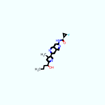 CCCC(O)c1cc(C)c(-c2cc3cnc(NC(=O)[C@@H]4C[C@@H]4F)cc3cn2)cn1